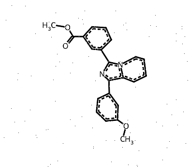 COC(=O)c1cccc(-c2nc(-c3cccc(OC)c3)c3ccccn23)c1